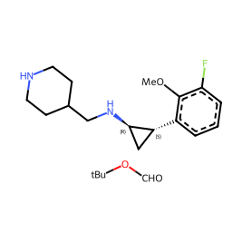 CC(C)(C)OC=O.COc1c(F)cccc1[C@@H]1C[C@H]1NCC1CCNCC1